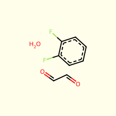 Fc1ccccc1F.O.O=CC=O